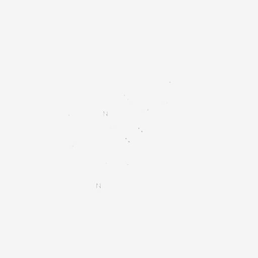 CC1CN(C(=O)OC(C)(C)C)N(c2ncccc2C#N)C1